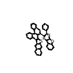 c1ccc(-c2nc3oc4ccccc4c3nc2-c2cc3ccccc3c3c4ccccc4c4c5cc6ccccc6cc5sc4c23)cc1